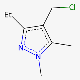 CCc1nn(C)c(C)c1CCl